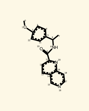 COc1ccc(C(C)NC(=O)c2ccc3cnccc3n2)cc1